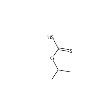 CC(C)OC(=S)S